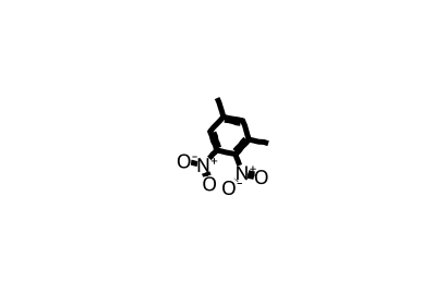 Cc1cc(C)c([N+](=O)[O-])c([N+](=O)[O-])c1